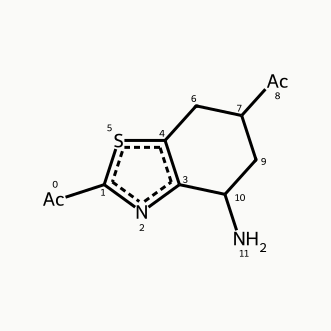 CC(=O)c1nc2c(s1)CC(C(C)=O)CC2N